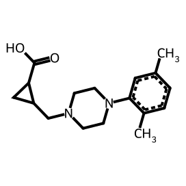 Cc1ccc(C)c(N2CCN(CC3CC3C(=O)O)CC2)c1